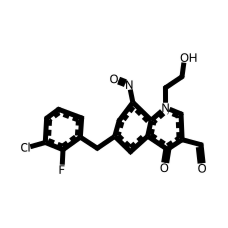 O=Cc1cn(CCO)c2c(N=O)cc(Cc3cccc(Cl)c3F)cc2c1=O